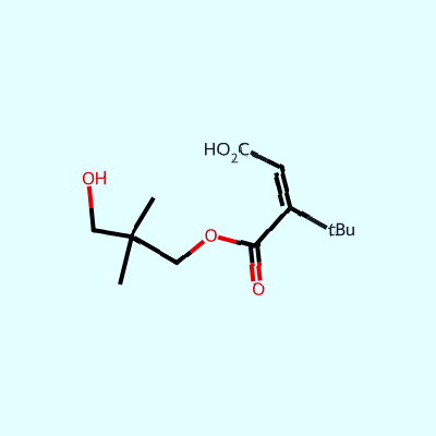 CC(C)(CO)COC(=O)C(=CC(=O)O)C(C)(C)C